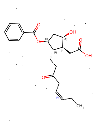 CC/C=C\CC(=O)CC[C@H]1[C@H](CC(=O)O)[C@H](O)C[C@@H]1OC(=O)c1ccccc1